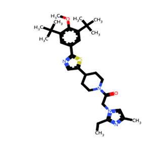 CCc1nc(C)cn1CC(=O)N1CCC(c2cnc(-c3cc(C(C)(C)C)c(OC)c(C(C)(C)C)c3)s2)CC1